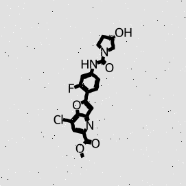 COC(=O)c1cc(Cl)c2oc(-c3ccc(NC(=O)N4CC[C@@H](O)C4)cc3F)cc2n1